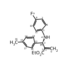 C=C(C(=O)OCC)[C@H](Nc1ccc(F)cc1)c1ccc(C)cc1